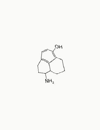 NC1CCc2ccc(O)c3c2C1CCC3